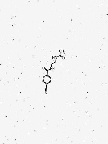 CC(=O)NCCNC(=O)c1ccc(C#N)cc1